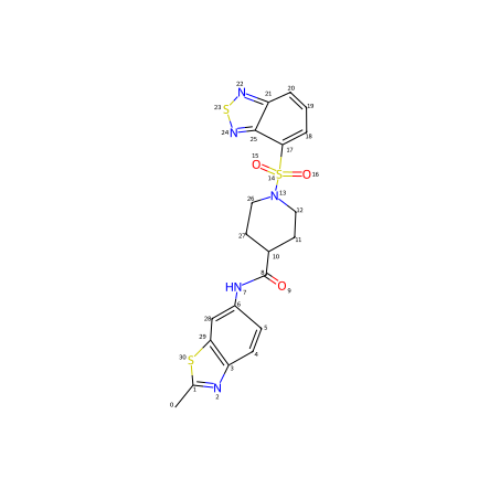 Cc1nc2ccc(NC(=O)C3CCN(S(=O)(=O)c4cccc5nsnc45)CC3)cc2s1